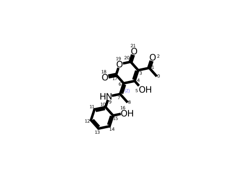 CC(=O)C1=C(O)/C(=C(\C)Nc2ccccc2O)C(=O)OC1=O